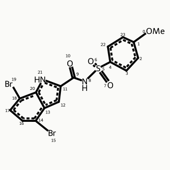 COc1ccc(S(=O)(=O)NC(=O)c2cc3c(Br)ccc(Br)c3[nH]2)cc1